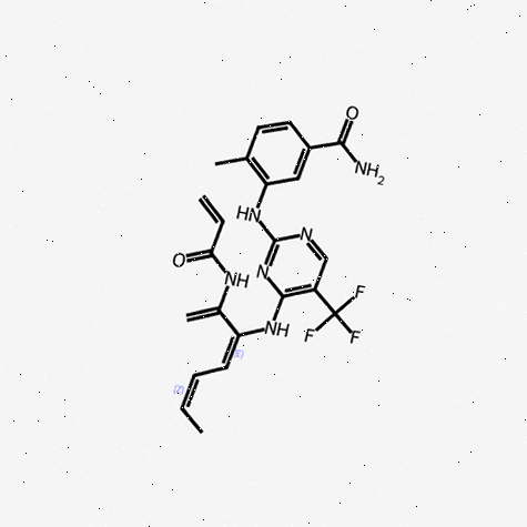 C=CC(=O)NC(=C)/C(=C\C=C/C)Nc1nc(Nc2cc(C(N)=O)ccc2C)ncc1C(F)(F)F